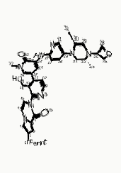 CCCCCc1cc2c(=O)n(-c3nccc(-c4cc(Nc5ccc(N6C[C@@H](C)N(C7COC7)C[C@@H]6C)cn5)c(=O)n(C)c4)c3CO)ccn2c1